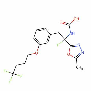 Cc1nnc(C(F)([CH]c2cccc(OCCCC(F)(F)F)c2)NC(=O)O)o1